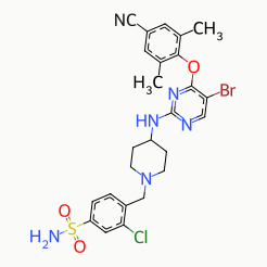 Cc1cc(C#N)cc(C)c1Oc1nc(NC2CCN(Cc3ccc(S(N)(=O)=O)cc3Cl)CC2)ncc1Br